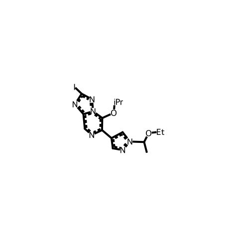 CCOC(C)n1cc(-c2ncc3nc(I)nn3c2OC(C)C)cn1